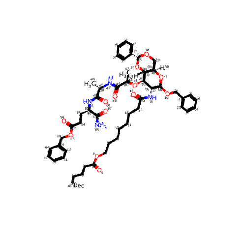 CCCCCCCCCCCCCC(=O)OCCCCCCCC(=O)N[C@H]1C(OCc2ccccc2)O[C@@H]2CO[C@@H](c3ccccc3)O[C@H]2[C@@H]1O[C@H](C)C(=O)N[C@@H](C)C(=O)N[C@H](CCC(=O)OCc1ccccc1)C(N)=O